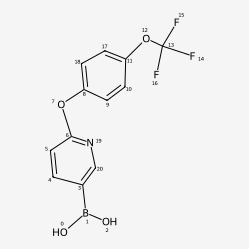 OB(O)c1ccc(Oc2ccc(OC(F)(F)F)cc2)nc1